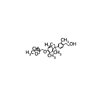 CCC(CC)(c1ccc(CCO)c(C)c1)c1ccc(OCC2COC(C)(C)O2)c(C)c1